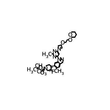 Cc1nc(N2CC(OCCOC3CCCCO3)C2)cc(-n2ncc3cc(C)c([C@@H]4CCN(C(=O)OC(C)(C)C)C[C@@H]4F)cc32)n1